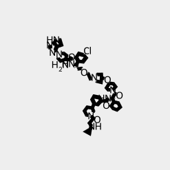 NC1(C(=O)N[C@@H](CCOCCN2CCC(OC3CCN(C(=O)[C@H](NC(=O)c4cccc(C5CCCN(C(=O)CNC6CC6)C5)c4)C4CCCCC4)CC3)CC2)c2ccc(Cl)cc2)CCN(c2ncnc3[nH]ccc23)CC1